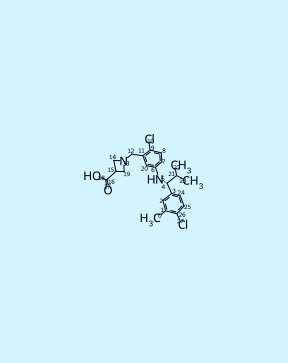 Cc1cc([C@H](Nc2ccc(Cl)c(CN3CC(C(=O)O)C3)c2)C(C)C)ccc1Cl